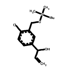 C=CC(O)c1ccc(Cl)c(CO[Si](C)(C)C(C)(C)C)c1